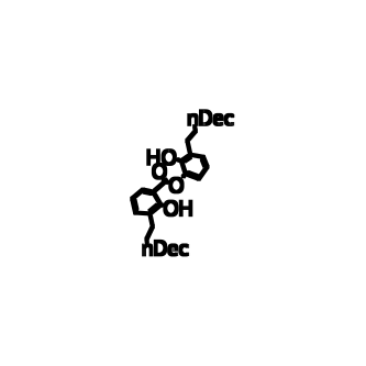 CCCCCCCCCCCCc1cccc(OC(=O)c2cccc(CCCCCCCCCCCC)c2O)c1O